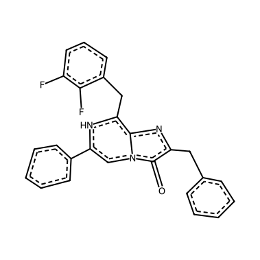 O=c1c(Cc2ccccc2)nc2c(Cc3cccc(F)c3F)[nH]c(-c3ccccc3)cn1-2